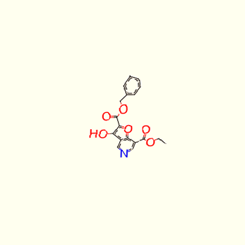 CCOC(=O)c1cncc2c(O)c(C(=O)OCc3ccccc3)oc12